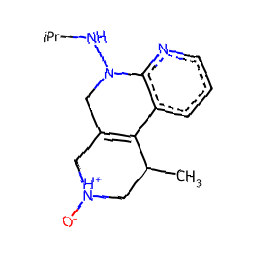 CC(C)NN1CC2=C(c3cccnc31)C(C)C[NH+]([O-])C2